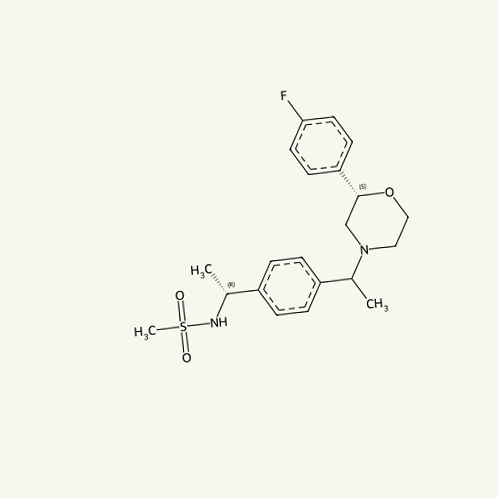 CC(c1ccc([C@@H](C)NS(C)(=O)=O)cc1)N1CCO[C@@H](c2ccc(F)cc2)C1